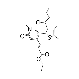 CCC[C@H](Cl)C1C(C)=C(C)SC1c1cn(C)c(=O)cc1/C=C/C(=O)OCC